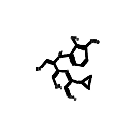 C=C\C(=N/C(=C\C)C(=C\CC)/Nc1cccc(OC)c1C)C1CC1